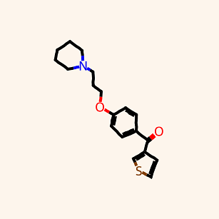 O=C(c1ccc(OCCCN2CCCCC2)cc1)c1ccsc1